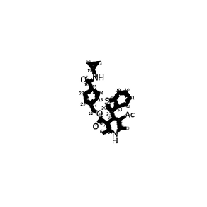 CC(=O)C1=C(C)NC(C)=C(C(=O)OCc2ccc(C(=O)NC3CC3)cc2)C1c1csc2ccccc12